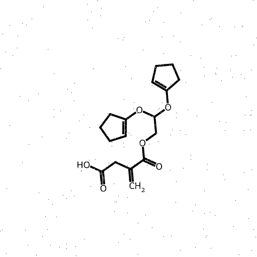 C=C(CC(=O)O)C(=O)OCC(OC1=CCCC1)OC1=CCCC1